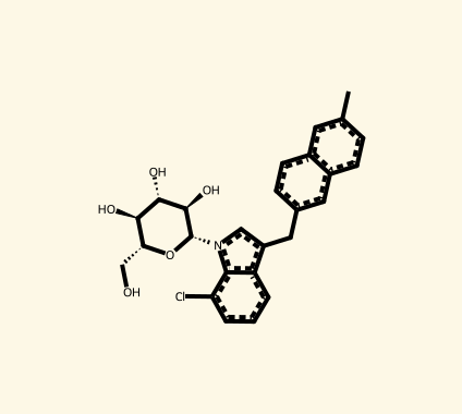 Cc1ccc2cc(Cc3cn([C@@H]4O[C@H](CO)[C@@H](O)[C@H](O)[C@H]4O)c4c(Cl)cccc34)ccc2c1